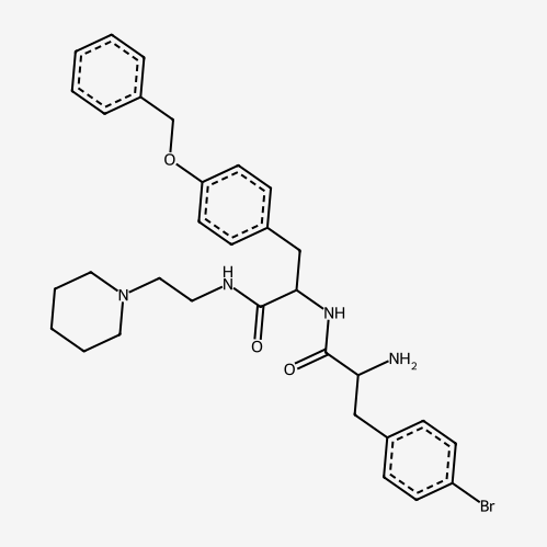 NC(Cc1ccc(Br)cc1)C(=O)NC(Cc1ccc(OCc2ccccc2)cc1)C(=O)NCCN1CCCCC1